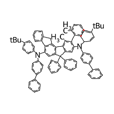 Cc1ccccc1-c1c(N(c2ccc(-c3ccccc3)cc2)C2C=CC(C(C)(C)C)=CC2)cc2c(c1C)-c1c(cc(N(c3ccc(-c4ccccc4)cc3)c3ccc(C(C)(C)C)cc3)c3c1Cc1ccccc1-3)C2(c1ccccc1)c1ccccc1